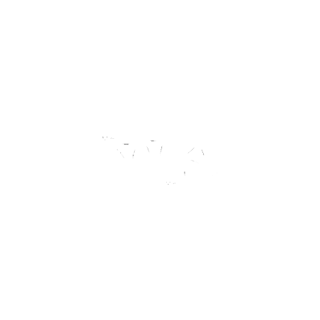 COC(=O)C(C)C(c1ccc2c(c1)OC(c1ccc(-c3cc(OC)ncc3F)cc1)CCC2)C1CC1